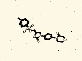 Cc1ccc(S(=O)(=O)OCC2CN(c3ccc(N4CCOCC4=O)cc3)C(=O)O2)cc1